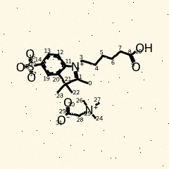 CC1=[N+](CCCCCC(=O)O)c2ccc(S(=O)(=O)[O-])cc2C1(C)C.C[N+](C)(C)CC(=O)[O-]